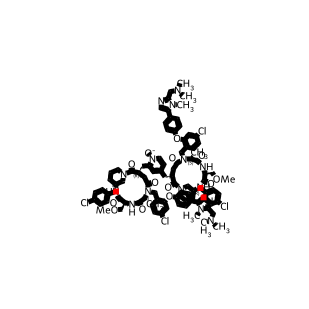 COC[C@@H]1NC(=O)[C@H](C)N(Cc2ccc(Cl)cc2Oc2ccc(-c3cnc(CN(C)C)n3C)cc2)C(=O)C[C@@H](Cc2cc[n+]([O-])c(C[C@@H]3CC(=O)N(Cc4ccc(Cl)cc4Oc4ccc(-c5cnc(CN(C)C)n5C)cc4)[C@@H](C)C(=O)N[C@@H](COC)C(=O)N[C@@]4(Cc5ccc(Cl)cc5)CCCN(C4)C3=O)c2)C(=O)N2CCC[C@@](Cc3ccc(Cl)cc3)(C2)NC1=O